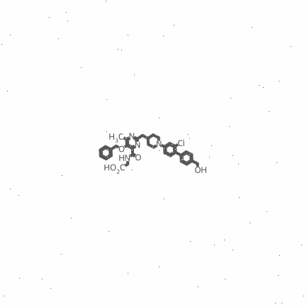 Cc1nc(CC2CCN(c3ccc(-c4ccc(CO)cc4)c(Cl)c3)CC2)nc(C(=O)NCC(=O)O)c1OCc1ccccc1